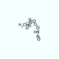 C=C1CCC(N2Cc3c(OCc4ccc(CNCCN5CCOCC5)cc4)cccc3C2=O)C(=O)N1